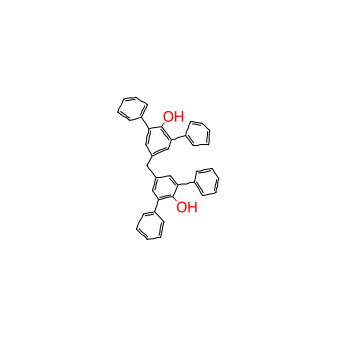 Oc1c(-c2ccccc2)cc(Cc2cc(-c3ccccc3)c(O)c(-c3ccccc3)c2)cc1-c1ccccc1